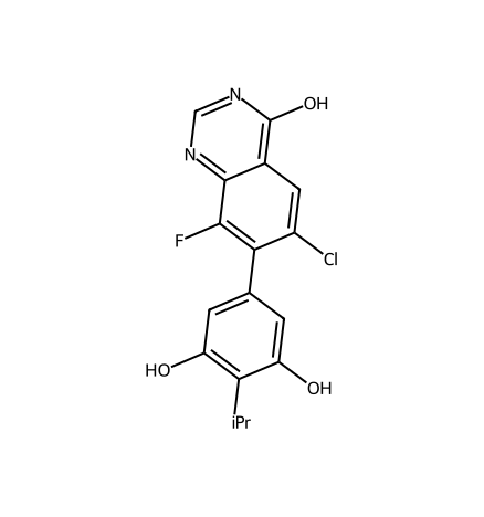 CC(C)c1c(O)cc(-c2c(Cl)cc3c(O)ncnc3c2F)cc1O